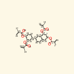 C=C(C)C(=O)Oc1cc(OC(=O)C(=C)C)c2cc(-c3ccc(OC(=O)C(=C)C)c(OC(=O)C(=C)C)c3)ccc2c1